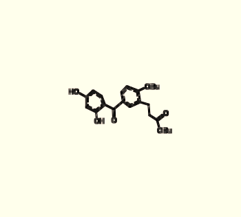 CC(C)COC(=O)CCc1cc(C(=O)c2ccc(O)cc2O)ccc1OCC(C)C